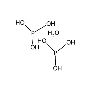 O.OP(O)O.OP(O)O